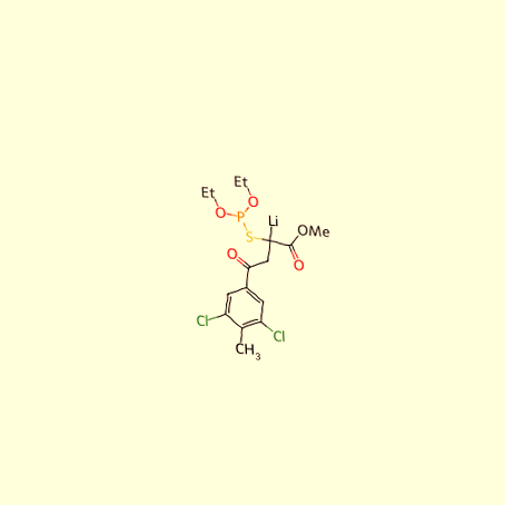 [Li][C](CC(=O)c1cc(Cl)c(C)c(Cl)c1)(SP(OCC)OCC)C(=O)OC